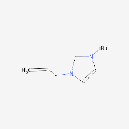 C=CCN1C=CN(C(C)CC)C1